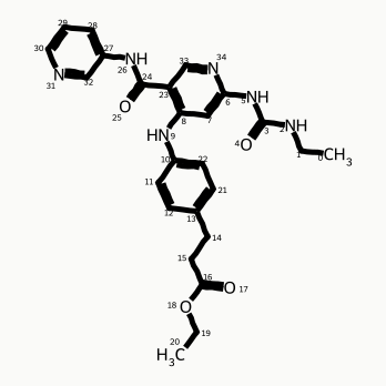 CCNC(=O)Nc1cc(Nc2ccc(CCC(=O)OCC)cc2)c(C(=O)Nc2cccnc2)cn1